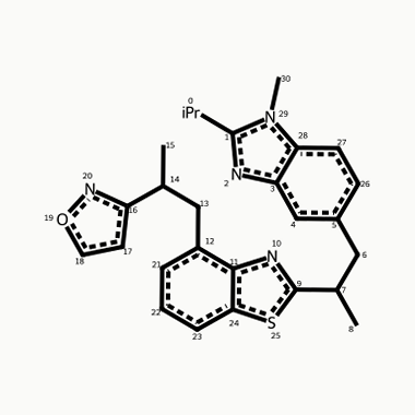 CC(C)c1nc2cc(CC(C)c3nc4c(CC(C)c5ccon5)cccc4s3)ccc2n1C